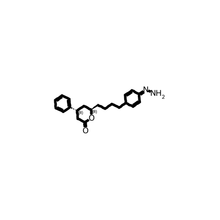 NN=C1C=CC(CCCC[C@@H]2C[C@@H](c3ccccc3)CC(=O)O2)C=C1